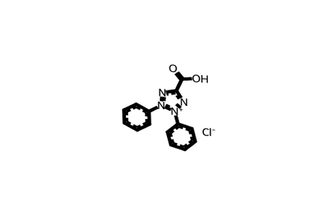 O=C(O)c1nn(-c2ccccc2)[n+](-c2ccccc2)n1.[Cl-]